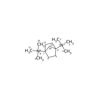 C[N+](C)(C)C12CCC([N+](C)(C)C)(CC1)C2